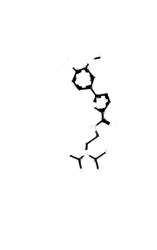 COc1cc(-c2ccc(C(=O)NCCN(C(C)C)C(C)C)s2)ccc1O